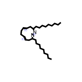 CCCCCCCCCC1C/C=C/CC/C=C/CC(CCCCCCCCC)/N=N/1